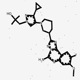 COc1cc2nc(N)n3nc(C4CCCN(c5cn(CC(C)(C)O)nc5C5CC5)C4)nc3c2cc1F